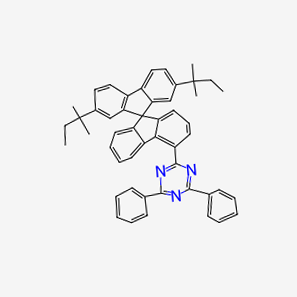 CCC(C)(C)c1ccc2c(c1)C1(c3cc(C(C)(C)CC)ccc3-2)c2ccccc2-c2c(-c3nc(-c4ccccc4)nc(-c4ccccc4)n3)cccc21